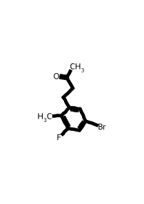 CC(=O)CCc1cc(Br)cc(F)c1C